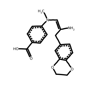 CN(/C=C(/N)Cc1ccc2c(c1)OCCO2)c1ccc(C(=O)O)cc1